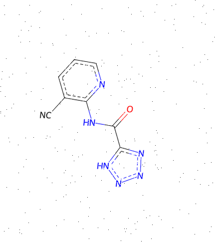 N#Cc1cccnc1NC(=O)c1nnn[nH]1